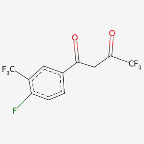 O=C(CC(=O)C(F)(F)F)c1ccc(F)c(C(F)(F)F)c1